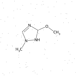 COC1N=CN(C)N1